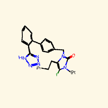 CC(C)CCc1c(F)n(C(C)C)c(=O)n1Cc1ccc(-c2ccccc2-c2nnn[nH]2)cc1